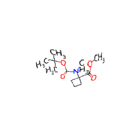 COC(=O)C1(N(C)C(=O)OC(C)(C)C)CCC1